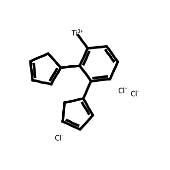 [Cl-].[Cl-].[Cl-].[Ti+3][c]1cccc(C2=CC=CC2)c1C1=CC=CC1